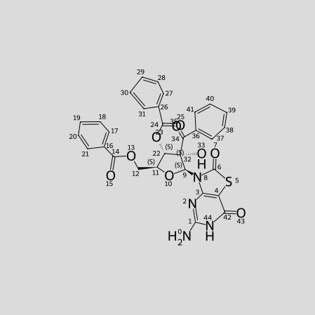 Nc1nc2c(sc(=O)n2[C@H]2O[C@@H](COC(=O)c3ccccc3)[C@H](OC(=O)c3ccccc3)[C@@]2(O)C(=O)c2ccccc2)c(=O)[nH]1